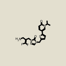 CC(C)n1cc(-c2ccc(Cn3cnn(CC(CN)=C(F)F)c3=O)s2)ccc1=O